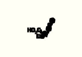 CCOc1nn(Cc2ccc(OCc3ccccc3)cc2)cc1CCC(=O)O